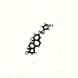 CC12CCC3C(CCC4=CC(=NOC5CCNC5)CCC43C)C1CCC2=O